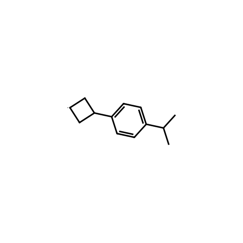 CC(C)c1ccc(C2C[CH]C2)cc1